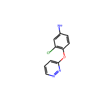 [NH]c1ccc(Oc2cccnn2)c(Cl)c1